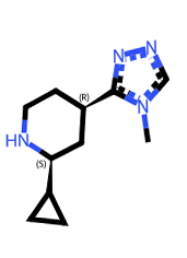 Cn1cnnc1[C@@H]1CCN[C@H](C2CC2)C1